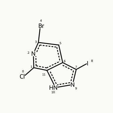 Clc1nc(Br)cc2c(I)n[nH]c12